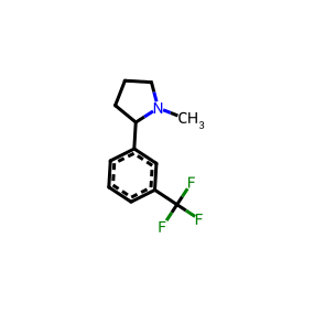 CN1CCCC1c1cccc(C(F)(F)F)c1